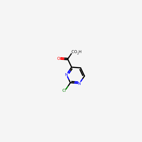 O=C(O)C(=O)c1ccnc(Cl)n1